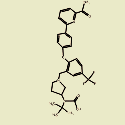 CC(C)(C)N(C(=O)O)C1CCN(Cc2cc(C(F)(F)F)ccc2Oc2ccc(-c3cccc(C(N)=O)n3)cc2)C1